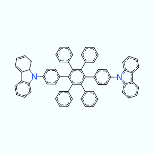 C1=CCC2C(=C1)c1ccccc1N2c1ccc(-c2c(-c3ccccc3)c(-c3ccccc3)c(-c3ccc(-n4c5ccccc5c5ccccc54)cc3)c(-c3ccccc3)c2-c2ccccc2)cc1